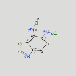 ClNc1ccc2ncsc2c1NCl